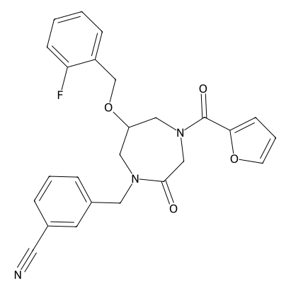 N#Cc1cccc(CN2CC(OCc3ccccc3F)CN(C(=O)c3ccco3)CC2=O)c1